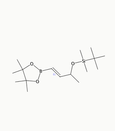 CC(/C=C/B1OC(C)(C)C(C)(C)O1)O[Si](C)(C)C(C)(C)C